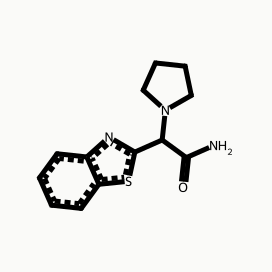 NC(=O)C(c1nc2ccccc2s1)N1CCCC1